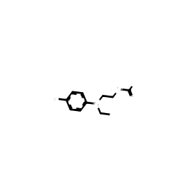 CCN(CCNC(=O)O)c1ccc(Br)cc1